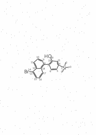 C[Si](C)(C)c1ccc(-c2cccc3c(Br)cccc23)c(O)c1